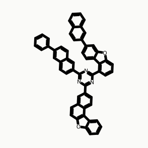 c1ccc(-c2ccc3cc(-c4nc(-c5ccc6c(ccc7oc8ccccc8c76)c5)nc(-c5cccc6oc7cc(-c8ccc9ccccc9c8)ccc7c56)n4)ccc3c2)cc1